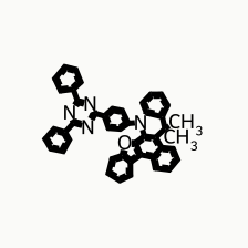 CC1(C)c2ccccc2N(c2ccc(-c3nc(-c4ccccc4)nc(-c4ccccc4)n3)cc2)c2c1c1ccccc1c1c2oc2ccccc21